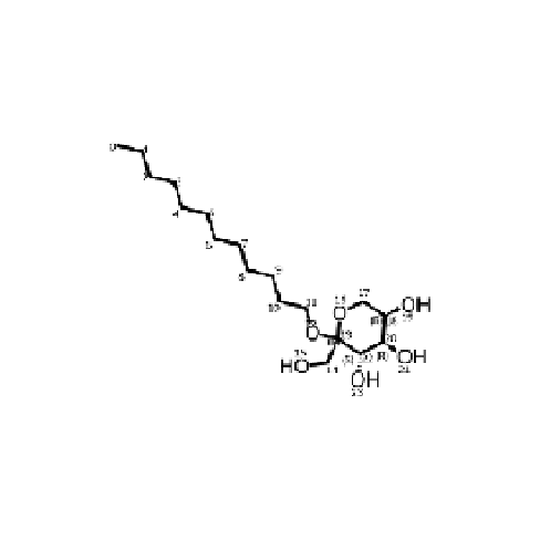 CCCCCCCCCCCCO[C@]1(CO)OC[C@@H](O)[C@@H](O)[C@@H]1O